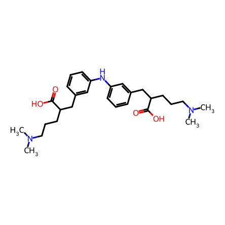 CN(C)CCCC(Cc1cccc(Nc2cccc(CC(CCCN(C)C)C(=O)O)c2)c1)C(=O)O